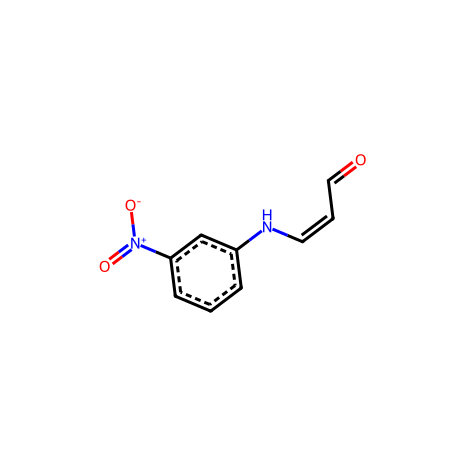 O=C/C=C\Nc1cccc([N+](=O)[O-])c1